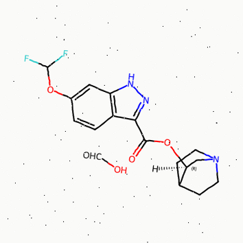 O=C(O[C@H]1CN2CCC1CC2)c1n[nH]c2cc(OC(F)F)ccc12.O=CO